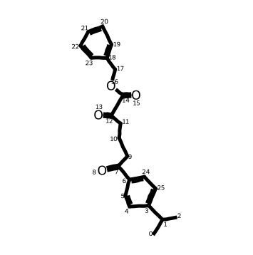 CC(C)c1ccc(C(=O)CCCC(=O)C(=O)OCc2ccccc2)cc1